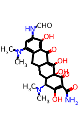 CN(C)c1cc(NC=O)c(O)c2c1CC1CC3[C@H](N(C)C)C(O)=C(C(N)=O)C(=O)[C@@]3(O)C(O)=C1C2=O